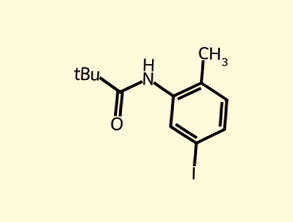 Cc1ccc(I)cc1NC(=O)C(C)(C)C